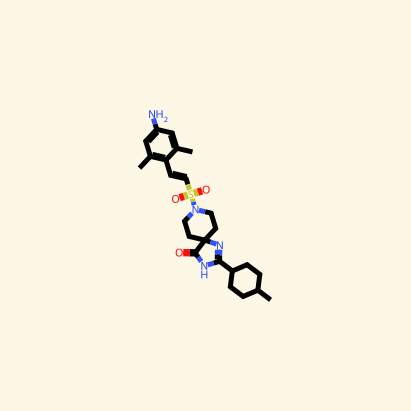 Cc1cc(N)cc(C)c1/C=C/S(=O)(=O)N1CCC2(CC1)N=C(C1CCC(C)CC1)NC2=O